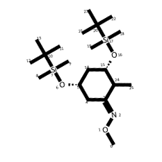 CO/N=C1\C[C@H](O[Si](C)(C)C(C)(C)C)C[C@H](O[Si](C)(C)C(C)(C)C)C1C